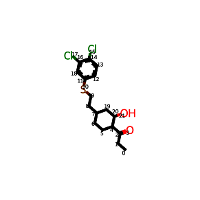 CCC(=O)C1CCC(CCSc2ccc(Cl)c(Cl)c2)CC1O